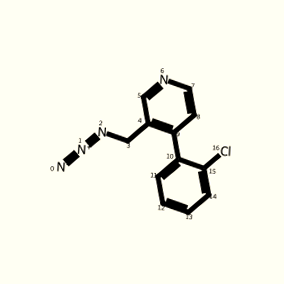 [N-]=[N+]=NCc1cnccc1-c1ccccc1Cl